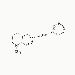 CN1CCCc2cc(C#Cc3cccnc3)ccc21